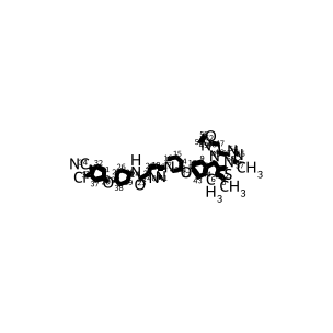 Cc1sc2c(c1C)C(c1ccc(O[C@H]3CCCN(c4ccc(C(=O)N[C@H]5CC[C@H](Oc6ccc(C#N)c(Cl)c6)CC5)nn4)C3)cc1)=N[C@@H](Cc1ncco1)c1nnc(C)n1-2